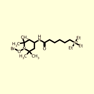 CC[N+](CC)(CC)CCCCCC(=O)NC1CC(C)(C)N(OBr)C(C)(C)C1